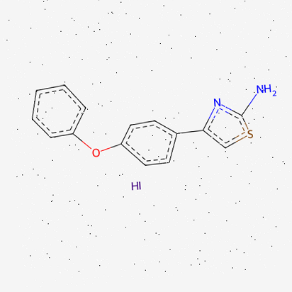 I.Nc1nc(-c2ccc(Oc3ccccc3)cc2)cs1